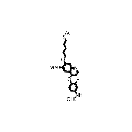 COc1cc2c(Oc3ccc(NC=O)cc3F)ccnc2cc1OCCCCCSC(C)=O